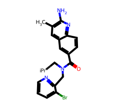 Cc1cc2cc(C(=O)N(Cc3ncccc3Br)CC(C)C)ccc2nc1N